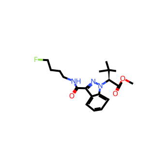 COC(=O)[C@@H](n1nc(C(=O)NCCCCF)c2ccccc21)C(C)(C)C